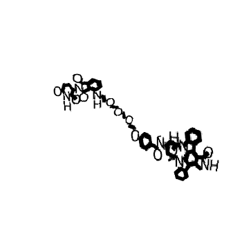 CN(C(=O)c1ccc(OCCOCCOCCOCCNc2cccc3c2C(=O)N(C2CCC(=O)NC2=O)C3=O)cc1)[C@@H]1C[C@H]2O[C@@](C)(C1)n1c3ccccc3c3c4c(c5c6ccccc6n2c5c31)C(=O)NC4